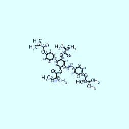 C=C(C)C(=O)Oc1ccc(-c2cc(OC(=O)/C(C)=C\C)c(/C=C/c3ccc(OC(O)C(=C)C)cc3)cc2OC(=O)C(=C)C)cc1